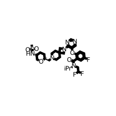 CC(C)N(CC(F)F)C(=O)c1cc(F)ccc1Oc1cncnc1N1CC2(CCN(C[C@@H]3CC[C@@H](NS(C)(=O)=O)CO3)CC2)C1